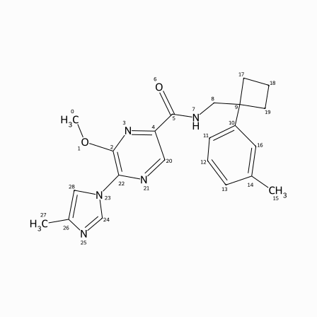 COc1nc(C(=O)NCC2(c3cccc(C)c3)CCC2)cnc1-n1cnc(C)c1